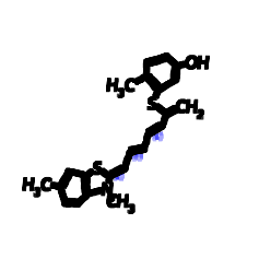 C=C(/C=C/C=C/C=C1\Sc2cc(C)ccc2N1C)Sc1cc(O)ccc1C